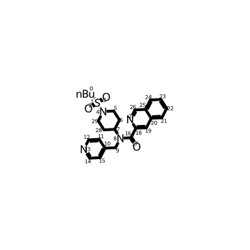 CCCCS(=O)(=O)N1CCC(N(Cc2ccncc2)C(=O)c2cc3ccccc3cn2)CC1